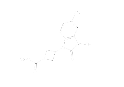 COC(=O)C1CC(n2c(=O)n(C)c3cc(C#N)ccc32)C1